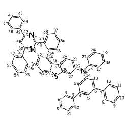 c1ccc(-c2cc(-c3ccccc3)cc(N(c3ccccc3)c3ccc4c(c3)sc3cccc(-c5ccccc5-c5nc(-c6ccccc6)cc(-c6ccccc6)n5)c34)c2)cc1